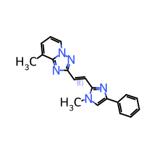 Cc1cccn2nc(/C=C/c3nc(-c4ccccc4)cn3C)nc12